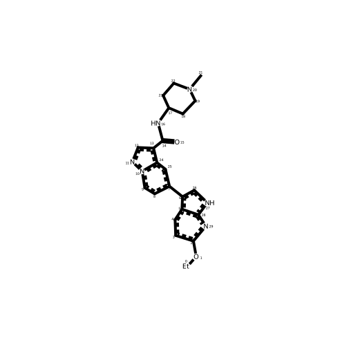 CCOc1ccc2c(-c3ccn4ncc(C(=O)NC5CCN(C)CC5)c4c3)c[nH]c2n1